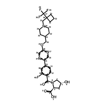 O=C(O)[C@@H]1C[C@@H](O)CN1C(=O)c1ccc(-c2cnc(OCC3CCN(CC4(C(F)(F)F)CCC4)CC3)cn2)cc1F